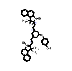 CCN1/C(=C/C=C2C=C(/C=C/C3=[N+](CC)c4ccc5ccccc5c4C3(C)C)CC(Sc3ccc(O)cc3)C/2)C(C)(C)c2c1ccc1ccccc21